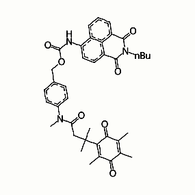 CCCCN1C(=O)c2cccc3c(NC(=O)OCc4ccc(N(C)C(=O)CC(C)(C)C5=C(C)C(=O)C(C)=C(C)C5=O)cc4)ccc(c23)C1=O